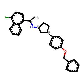 C[C@@H](N[C@H]1CC[C@@H](c2ccc(OCc3ccccc3)cc2)C1)c1ccc(F)c2ccccc12